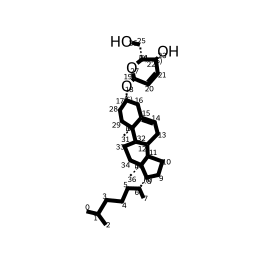 CC(C)CCCC(C)[C@H]1CCC2C3CC=C4C[C@@H](OC5C=C[C@H](O)[C@@H](CO)O5)CC[C@]4(C)C3CC[C@@]21C